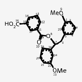 COc1cccc(CC(OC(=O)c2cccc(C(=O)O)c2)c2cccc(OC)c2)c1